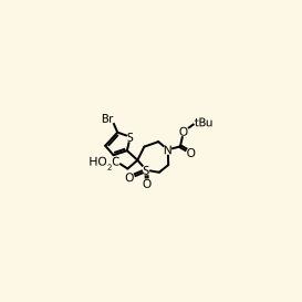 CC(C)(C)OC(=O)N1CCC(CC(=O)O)(c2ccc(Br)s2)S(=O)(=O)CC1